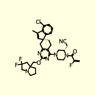 C=C(F)C(=O)N1CCN(c2nc(OCC34CCCN3CC(F)(F)C4)nc3c2CC[C@@]2(C=C(C)c4c(Cl)cccc42)C3)C[C@@H]1CC#N